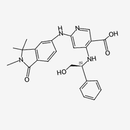 CN1C(=O)c2ccc(Nc3cc(N[C@H](CO)c4ccccc4)c(C(=O)O)cn3)cc2C1(C)C